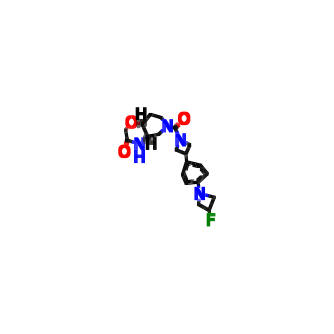 O=C1CO[C@H]2CCN(C(=O)N3CC(c4ccc(N5CC(F)C5)cc4)C3)C[C@H]2N1